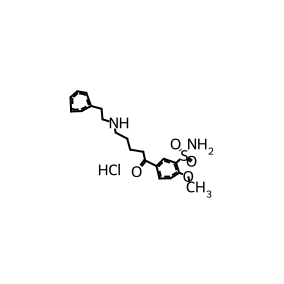 COc1ccc(C(=O)CCCCNCCc2ccccc2)cc1S(N)(=O)=O.Cl